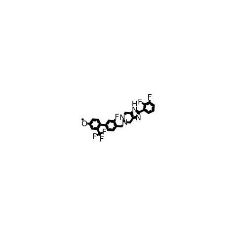 COc1ccc(-c2ccc(CN3Cc4nc(-c5cccc(F)c5F)[nH]c4C=N3)c(F)c2)c(C(F)(F)F)c1